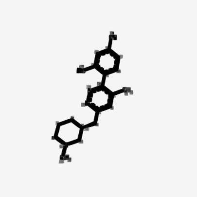 Cc1cc(C[C@@H]2CCCN(C)C2)nnc1-c1ccc(C#N)cc1O